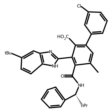 CCC[C@@H](NC(=O)c1c(C)cc(-c2cccc(Cl)c2)c(C(=O)O)c1-c1nc2cc(C(C)(C)C)ccc2[nH]1)c1ccccc1